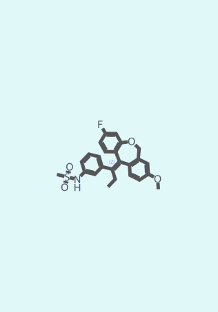 CC/C(=C1\c2ccc(OC)cc2COc2cc(F)ccc21)c1cccc(NS(C)(=O)=O)c1